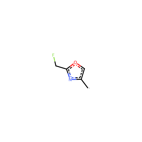 [CH2]c1coc(CF)n1